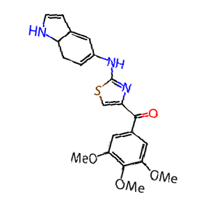 COc1cc(C(=O)c2csc(NC3=CCC4NC=CC4=C3)n2)cc(OC)c1OC